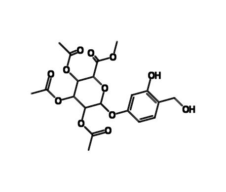 COC(=O)C1OC(Oc2ccc(CO)c(O)c2)C(OC(C)=O)C(OC(C)=O)C1OC(C)=O